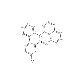 Cc1ccc2c(c1)c(=O)n(-c1cccc3cccnc13)c1ccccc21